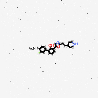 CC(=O)Nc1ccc(-c2cccc(-c3cnc(CCC4CCNCC4)o3)c2O)cc1F